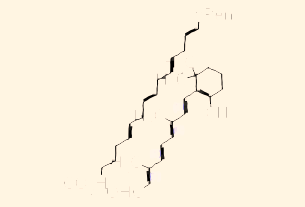 CC1=C(/C=C/C(C)=C/C=C/C(C)=C/C=O)C(C)(C)CCC1.CCCCCC=CCC=CCC=CCC=CCCCC(=O)O